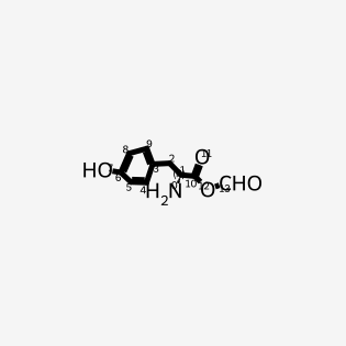 N[C@H](Cc1ccc(O)cc1)C(=O)OC=O